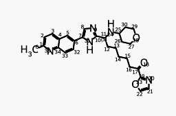 Cc1ccc2cc(-c3cnc([C@H](CCCCCC(=O)c4ncco4)NC4CCOCC4)[nH]3)ccc2n1